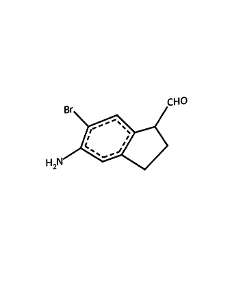 Nc1cc2c(cc1Br)C(C=O)CC2